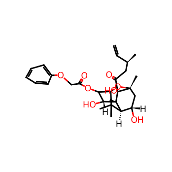 C=C[C@@H](C)CC(=O)[C@@]1(O)[C@@]2(C)[C@H](O)C(OC(=O)COc3ccccc3)C3O[C@]1(C)C[C@H](O)[C@H]2C3(C)C